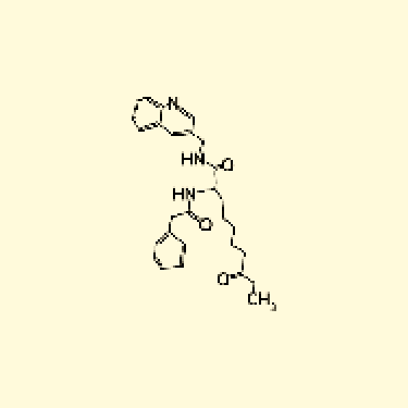 CCC(=O)CCCCCC(NC(=O)Cc1ccccc1)C(=O)NCc1cnc2ccccc2c1